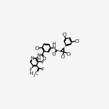 C=C(F)c1c(F)cnc(NC(=O)c2cc(NC(=O)[C@H]3[C@H](c4cc(Cl)cc(Cl)c4)C3(Cl)Cl)ccc2Cl)c1F